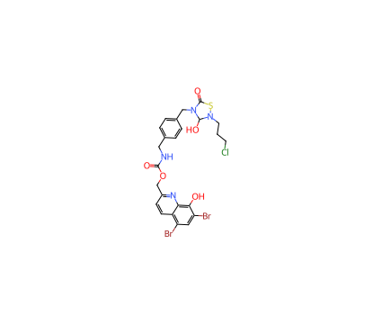 O=C(NCc1ccc(CN2C(=O)SN(CCCCl)C2O)cc1)OCc1ccc2c(Br)cc(Br)c(O)c2n1